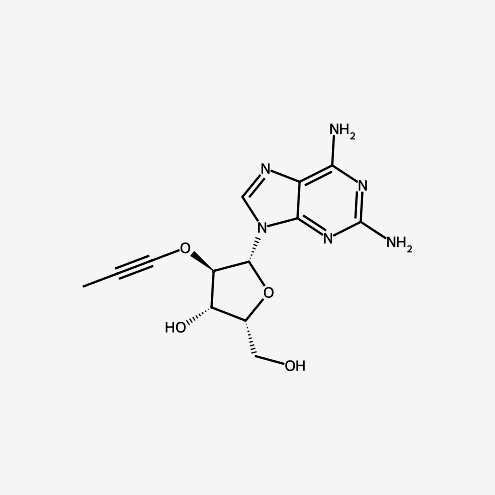 CC#CO[C@@H]1[C@@H](O)[C@@H](CO)O[C@H]1n1cnc2c(N)nc(N)nc21